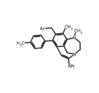 CCCC1=Cc2c3c(c(C)c(CC(C)=O)c2-c2ccc(C)cc2)N(C)CCN1C3